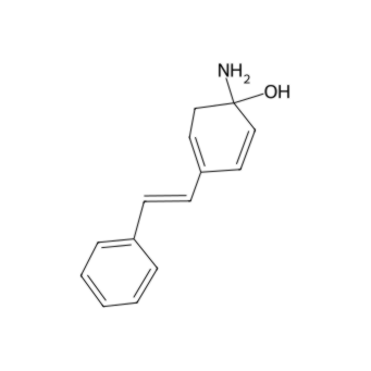 NC1(O)C=CC(C=Cc2ccccc2)=CC1